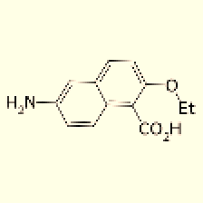 CCOc1ccc2cc(N)ccc2c1C(=O)O